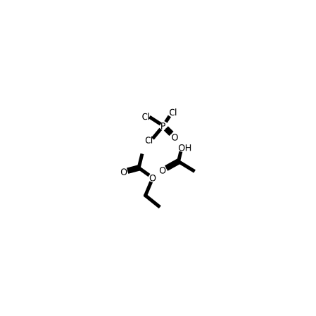 CC(=O)O.CCOC(C)=O.O=P(Cl)(Cl)Cl